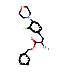 CC(Cc1ccc(N2CCOCC2)c(F)c1)C(=O)OCc1ccccc1